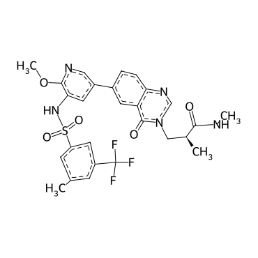 CNC(=O)[C@@H](C)Cn1cnc2ccc(-c3cnc(OC)c(NS(=O)(=O)c4cc(C)cc(C(F)(F)F)c4)c3)cc2c1=O